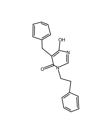 O=c1c(Cc2ccccc2)c(O)ncn1CCc1ccccc1